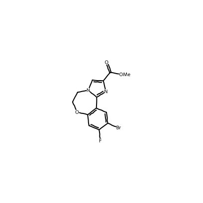 COC(=O)c1cn2c(n1)-c1cc(Br)c(F)cc1OCC2